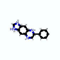 c1ccc(-c2cnc3cc4[nH]cnc4cc3n2)cc1